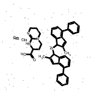 CC1=Cc2c(-c3ccccc3)cccc2[CH]1[Zr][CH]1C(C)=Cc2c(-c3ccccc3)cccc21.Cl.Cl.O=C(O)C1CCN2CCCN=C2N1.[Ga]